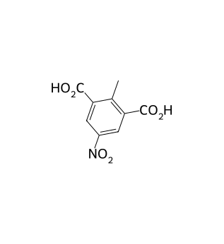 Cc1c(C(=O)O)cc([N+](=O)[O-])cc1C(=O)O